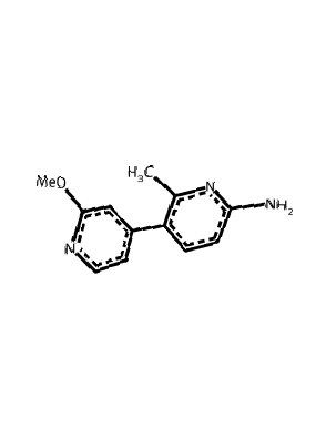 COc1cc(-c2ccc(N)nc2C)ccn1